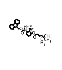 CC(C)(C)CCCC(=O)Oc1cccc(NC(=O)OCC2c3ccccc3-c3ccccc32)c1C(F)(F)F